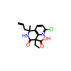 C=CCC1(C)NC(=O)C(CC)(C(=O)O)c2nc(Cl)ccc21